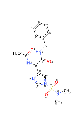 CC(=O)NC(C(=O)NCc1ccccc1)c1cn(S(=O)(=O)N(C)C)cn1